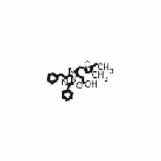 CCc1oc(Cc2nc3c(Cc4ccccc4)nc(-c4ccccc4)cn3c2CC(=O)O)cc1C